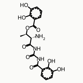 C[C@@H](OC(=O)c1cccc(O)c1O)[C@H](N)C(=O)NC(=O)NC(=O)c1cccc(O)c1O